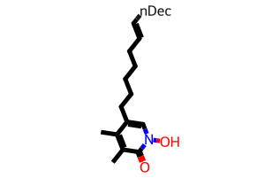 CCCCCCCCCCC=CCCCCCc1cn(O)c(=O)c(C)c1C